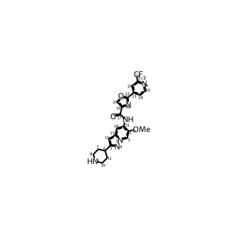 COc1cn2nc(C3CCNCC3)cc2cc1NC(=O)c1coc(-c2ccnc(C(F)(F)F)c2)n1